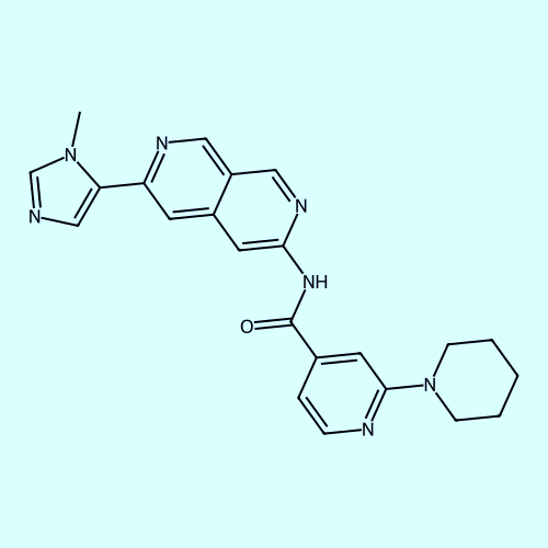 Cn1cncc1-c1cc2cc(NC(=O)c3ccnc(N4CCCCC4)c3)ncc2cn1